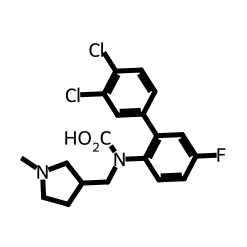 CN1CCC(CN(C(=O)O)c2ccc(F)cc2-c2ccc(Cl)c(Cl)c2)C1